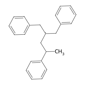 CC(C[C](Cc1ccccc1)Cc1ccccc1)c1ccccc1